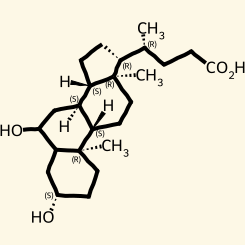 C[C@H](CCC(=O)O)[C@H]1CC[C@H]2[C@@H]3CC(O)C4C[C@@H](O)CC[C@]4(C)[C@H]3CC[C@]12C